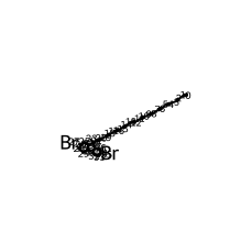 C#CC#CC#CC#CC#CC#CC#CC#CC#CC#CC#CC1(C)c2cc(Br)ccc2-c2ccc(Br)cc21